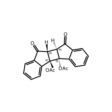 CC(=O)O[C@@]12c3ccccc3C(=O)[C@@H]1[C@H]1C(=O)c3ccccc3[C@]12OC(C)=O